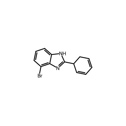 Brc1cccc2[nH]c(C3C=CC=CC3)nc12